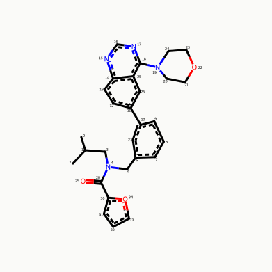 CC(C)CN(Cc1cccc(-c2ccc3ncnc(N4CCOCC4)c3c2)c1)C(=O)c1ccco1